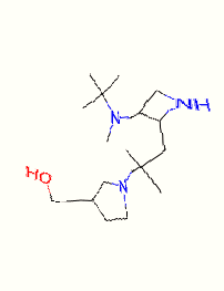 CN(C1CNC1CC(C)(C)N1CCC(CO)C1)C(C)(C)C